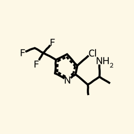 CC(N)C(C)c1ncc(C(F)(F)CF)cc1Cl